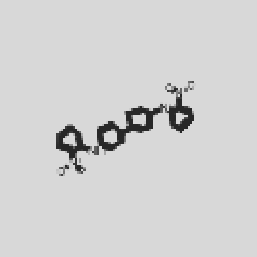 O=[N+]([O-])c1ccccc1Nc1ccc(-c2ccc(Nc3ccccc3[N+](=O)[O-])cc2)cc1